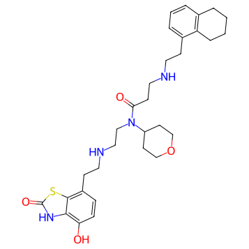 O=C(CCNCCc1cccc2c1CCCC2)N(CCNCCc1ccc(O)c2[nH]c(=O)sc12)C1CCOCC1